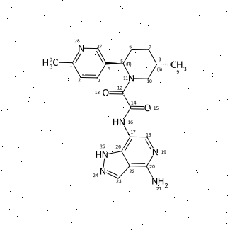 Cc1ccc([C@H]2CC[C@H](C)CN2C(=O)C(=O)Nc2cnc(N)c3cn[nH]c23)cn1